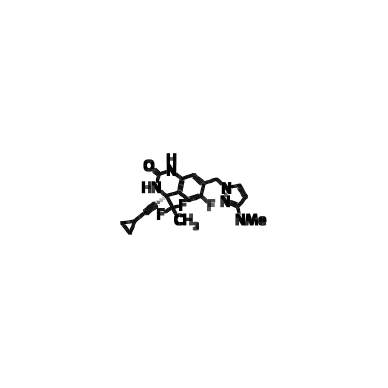 CNc1ccn(Cc2cc3c(cc2F)[C@@](C#CC2CC2)(C(C)(F)F)NC(=O)N3)n1